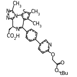 Cc1sc2c(c1C)C(c1ccc(-c3ccc(OCC(=O)OC(C)(C)C)nc3)cc1)=N[C@@H](CC(=O)O)c1nnc(C)n1-2